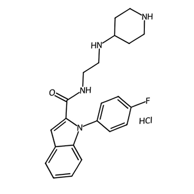 Cl.O=C(NCCNC1CCNCC1)c1cc2ccccc2n1-c1ccc(F)cc1